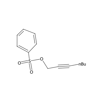 CCCCC#CCOS(=O)(=O)c1ccccc1